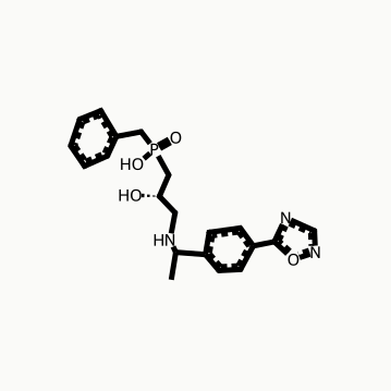 CC(NC[C@H](O)CP(=O)(O)Cc1ccccc1)c1ccc(-c2ncno2)cc1